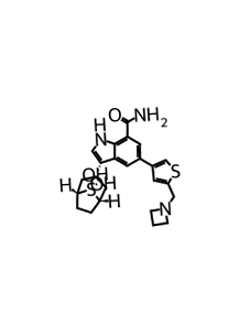 NC(=O)c1cc(-c2csc(CN3CCC3)c2)cc2c([C@H]3C[C@H]4CC[C@@H](C3)S4(O)O)c[nH]c12